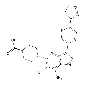 Nc1c(Br)c([C@H]2CC[C@H](C(=O)O)CC2)nc2c(-c3ccc(C4=CCC=N4)nc3)cnn12